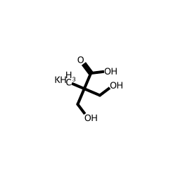 CC(CO)(CO)C(=O)O.[KH]